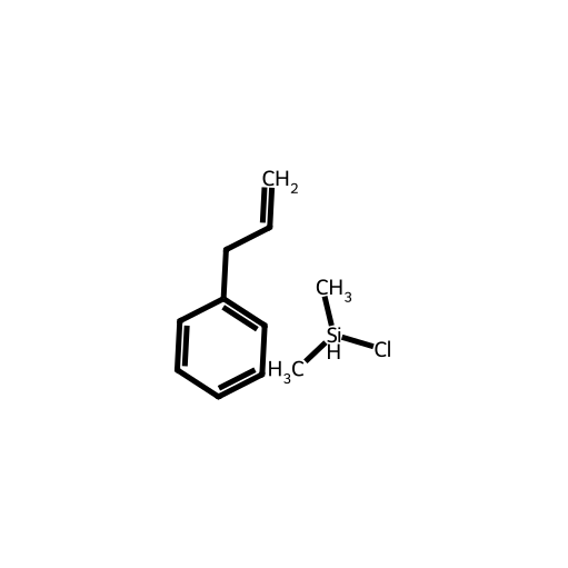 C=CCc1ccccc1.C[SiH](C)Cl